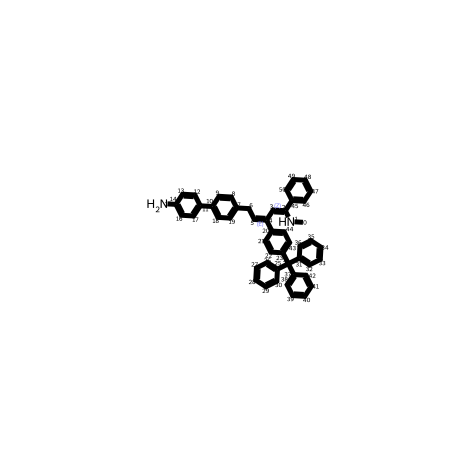 CN/C(=C\C(=C/Cc1ccc(-c2ccc(N)cc2)cc1)c1ccc(C(c2ccccc2)(c2ccccc2)c2ccccc2)cc1)c1ccccc1